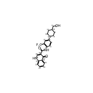 O=C(Nc1ccc(N2CCC(CO)CC2)cc1C(F)(F)F)c1c[nH]c2ccccc2c1=O